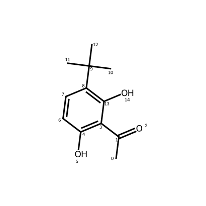 CC(=O)c1c(O)ccc(C(C)(C)C)c1O